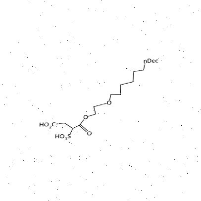 CCCCCCCCCCCCCCCCOCCOC(=O)C(CC(=O)O)S(=O)(=O)O